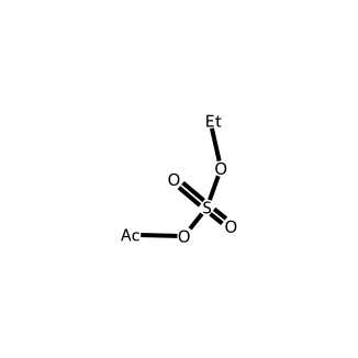 CCOS(=O)(=O)OC(C)=O